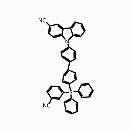 N#Cc1cccc([Si](c2ccccc2)(c2ccccc2)c2ccc(-c3ccc(-n4c5ccccc5c5cc(C#N)ccc54)cc3)cc2)c1